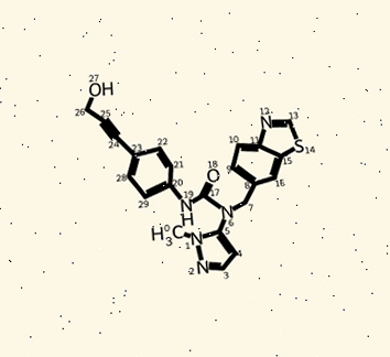 Cn1nccc1N(Cc1ccc2ncsc2c1)C(=O)Nc1ccc(C#CCO)cc1